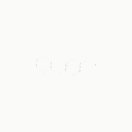 CC(C)Oc1ccc(OC2CCNCC2)cc1